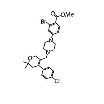 COC(=O)c1ccc(N2CCN(CC3=C(c4ccc(Cl)cc4)CC(C)(C)OC3)CC2)cc1Br